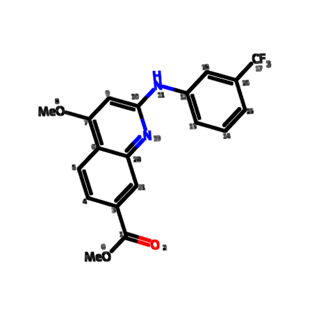 COC(=O)c1ccc2c(OC)cc(Nc3cccc(C(F)(F)F)c3)nc2c1